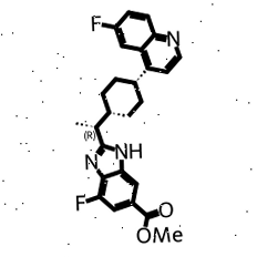 COC(=O)c1cc(F)c2nc([C@H](C)[C@H]3CC[C@@H](c4ccnc5ccc(F)cc54)CC3)[nH]c2c1